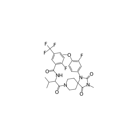 COc1ccc(N2C(=O)N(C)C(=O)C23CCN(C(=O)C(NC(=O)c2cc(C(F)(F)F)ccc2F)C(C)C)CC3)cc1F